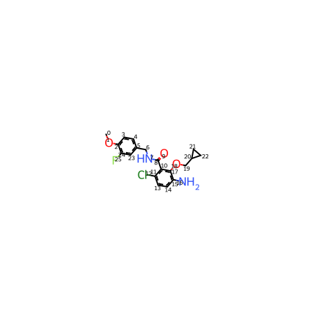 COc1ccc(CNC(=O)c2c(Cl)ccc(N)c2OCC2CC2)cc1F